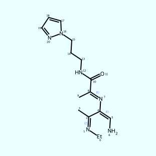 CC\N=C(C)/C(=C\N)/N=C(\C)C(=O)NCCCn1cccn1